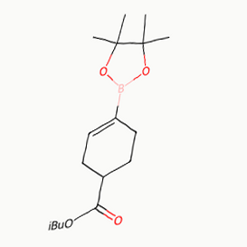 CC(C)COC(=O)C1CC=C(B2OC(C)(C)C(C)(C)O2)CC1